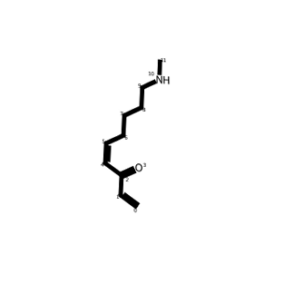 C=CC(=O)/C=C\CCCCNC